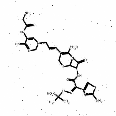 CC(C)(O/N=C(\C(=O)N[C@@H]1C(=O)N2C(C(=O)O)=C(/C=C/CN3C=C(NC(=O)CN)C(N)=NC3)CSC12)c1csc(N)n1)C(=O)O